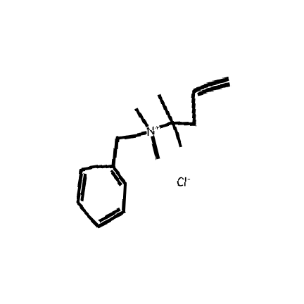 C=CCC(C)(C)[N+](C)(C)Cc1ccccc1.[Cl-]